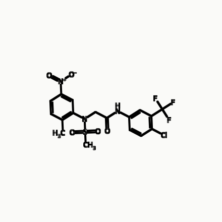 Cc1ccc([N+](=O)[O-])cc1N(CC(=O)Nc1ccc(Cl)c(C(F)(F)F)c1)S(C)(=O)=O